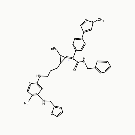 CCCC1/C(=[N+](/C(=O)NCc2ccccc2)c2ccc(-c3cnn(C)c3)cn2)C1CCCNc1ncc(C#N)c(NCc2ccco2)n1